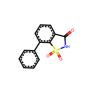 O=C1NS(=O)(=O)c2c1cccc2-c1ccccc1